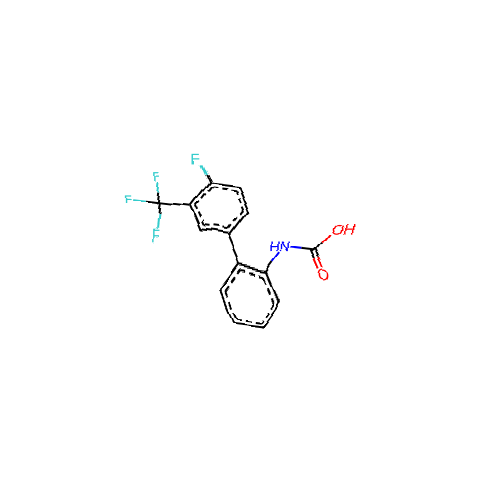 O=C(O)Nc1ccccc1-c1ccc(F)c(C(F)(F)F)c1